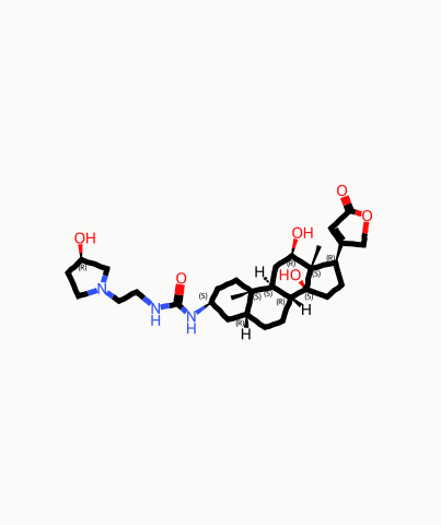 C[C@]12CC[C@H](NC(=O)NCCN3CC[C@@H](O)C3)C[C@H]1CC[C@@H]1[C@@H]2C[C@@H](O)[C@]2(C)[C@@H](C3=CC(=O)OC3)CC[C@]12O